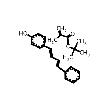 C=C(C)C(=O)OC(C)(C)C.Oc1ccc(C=CC=Cc2ccccc2)cc1